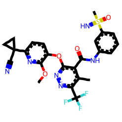 COc1nc(C2(C#N)CC2)ccc1Oc1nnc(C(F)(F)F)c(C)c1C(=O)Nc1cccc(S(C)(=N)=O)c1